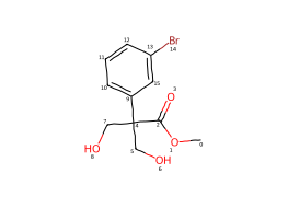 COC(=O)C(CO)(CO)c1cccc(Br)c1